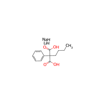 CCCCC(C(=O)O)(C(=O)O)c1ccccc1.[LiH].[NaH]